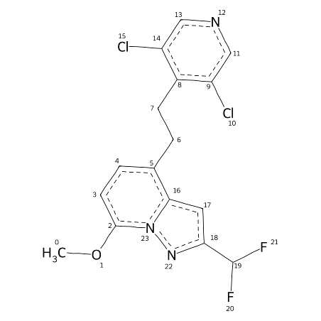 COc1ccc(CCc2c(Cl)cncc2Cl)c2cc(C(F)F)nn12